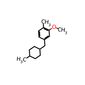 COc1cc(CC2CCC(C)CC2)ccc1C